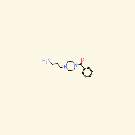 NCCCN1CCN(C(=O)c2ccccc2)CC1